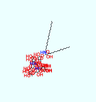 CCCCCCCCCCCCC/C=C/[C@@H](O)[C@H](CO[C@@H]1OC(CO)[C@@H](O[C@@H]2OC(CO)[C@H](O)[C@H](O[C@@H]3OC(CO)[C@@H](O[C@H]4OC(C)[C@@H](O)C(O)[C@@H]4O)[C@H](O[C@@H]4OC(CO)[C@H](O)[C@H](O[C@H]5OC(CO)[C@H](O)[C@H](O)C5NC(C)=O)C4O[C@H]4OC(C)[C@@H](O)C(O)[C@@H]4O)C3NC(C)=O)C2O)[C@H](O)C1O)NC(=O)CCCCCCCCCCCCCCCCCCC